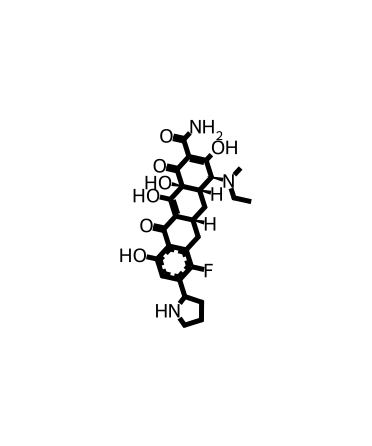 CCN(C)[C@@H]1C(O)=C(C(N)=O)C(=O)[C@@]2(O)C(O)=C3C(=O)c4c(O)cc(C5CCCN5)c(F)c4C[C@H]3C[C@@H]12